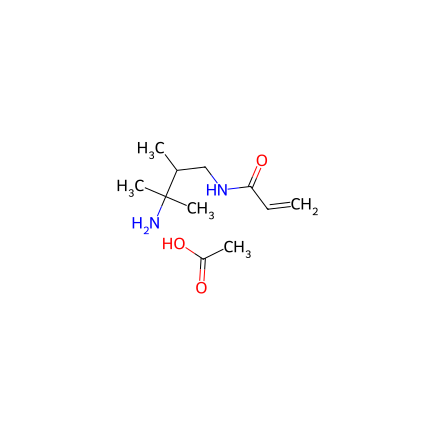 C=CC(=O)NCC(C)C(C)(C)N.CC(=O)O